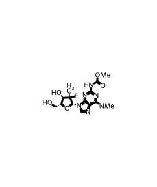 CNc1nc(NC(=O)OC)nc2c1ncn2[C@@H]1O[C@H](CO)[C@@H](O)[C@@]1(C)F